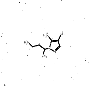 CC(CCN)n1ncc(N)c1N